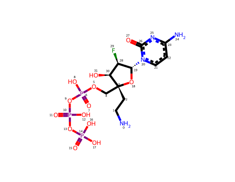 NCC[C@]1(COP(=O)(O)OP(=O)(O)OP(=O)(O)O)O[C@@H](n2ccc(N)nc2=O)[C@H](F)[C@@H]1O